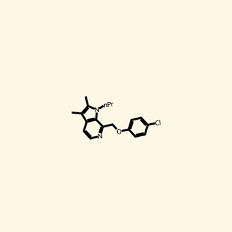 CCCn1c(C)c(C)c2ccnc(COc3ccc(Cl)cc3)c21